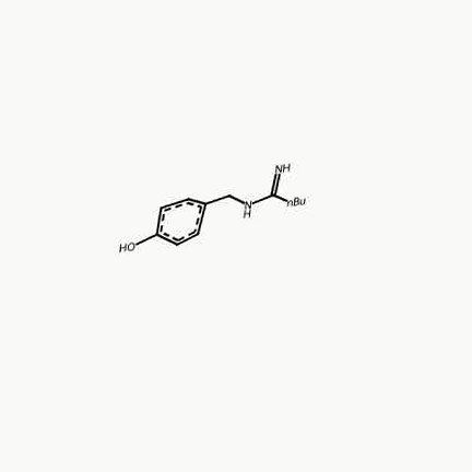 CCCCC(=N)NCc1ccc(O)cc1